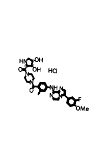 COc1ccc(-c2cnc3c(Nc4ccc(C(=O)N5CCN(C(=O)[C@H]6NC[C@H](O)[C@@H]6O)CC5)c(C)c4)nccn23)cc1F.Cl